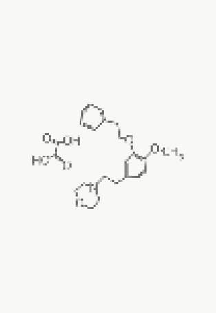 COc1ccc(CCN2CCOCC2)cc1OCCc1ccccc1.O=C(O)C(=O)O